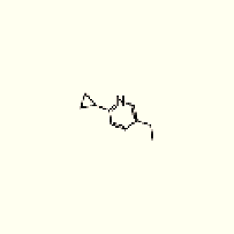 CCc1ccc(C2CC2)nc1